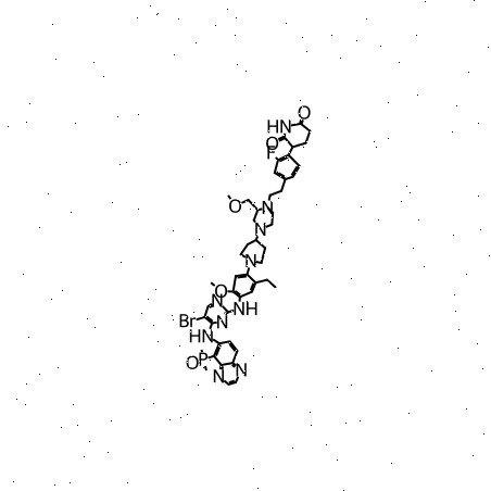 CCc1cc(Nc2ncc(Br)c(Nc3ccc4nccnc4c3P(C)(C)=O)n2)c(OC)cc1N1CCC(N2CCN(CCc3ccc(C4CCC(=O)NC4=O)c(F)c3)C(COC)C2)CC1